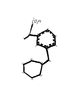 C[C@@H](C(=O)O)c1cccc(CC2CCCCC2)c1